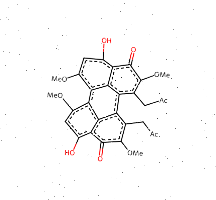 COc1c(CC(C)=O)c2c3c(CC(C)=O)c(OC)c(=O)c4c(O)cc(OC)c(c5c(OC)cc(O)c(c1=O)c52)c43